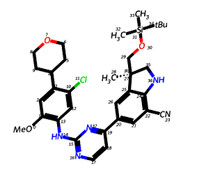 COc1cc(C2CCOCC2)c(Cl)cc1Nc1nccc(-c2cc(C#N)c3c(c2)[C@@](C)(CO[Si](C)(C)C(C)(C)C)CN3)n1